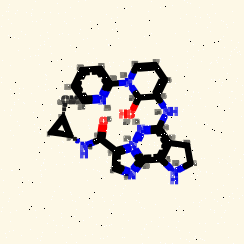 CO[C@H]1C[C@H]1NC(=O)c1cnc2c3c(c(NC4=CC=CN(c5ccccn5)C4O)nn12)CCN3